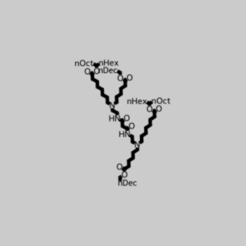 CCCCCCCCCCCOC(=O)CCCCCN(CCCCCCCC(=O)OC(CCCCCC)CCCCCCCC)CCNC(=O)CC(=O)NCCN(CCCCCCCC(=O)OC(CCCCCC)CCCCCCCC)CCCCCC(=O)OCCCCCCCCCCC